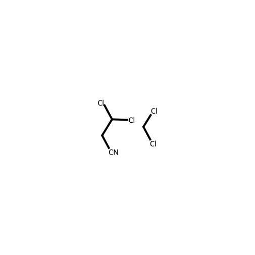 ClCCl.N#CCC(Cl)Cl